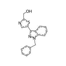 OCc1ncc(-c2nn(Cc3ccccc3)c3ccccc23)s1